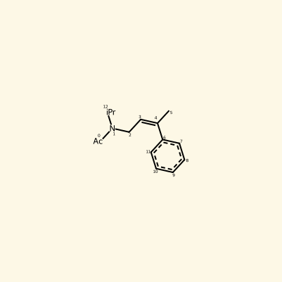 CC(=O)N(C/C=C(/C)c1ccccc1)C(C)C